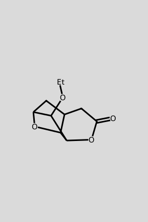 CCOC1C2CC3CC(=O)OC1C3O2